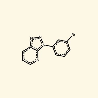 Brc1cccc(-n2nnc3cccnc32)c1